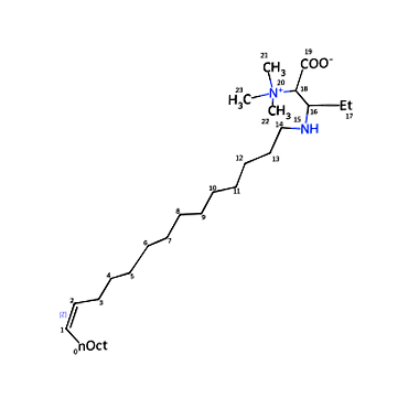 CCCCCCCC/C=C\CCCCCCCCCCCCNC(CC)C(C(=O)[O-])[N+](C)(C)C